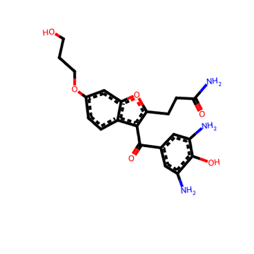 NC(=O)CCc1oc2cc(OCCCO)ccc2c1C(=O)c1cc(N)c(O)c(N)c1